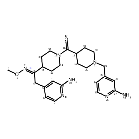 CO/N=C(\Cc1ccnc(N)c1)C1CCN(C(=O)C2CCN(Cc3ccnc(N)c3)CC2)CC1